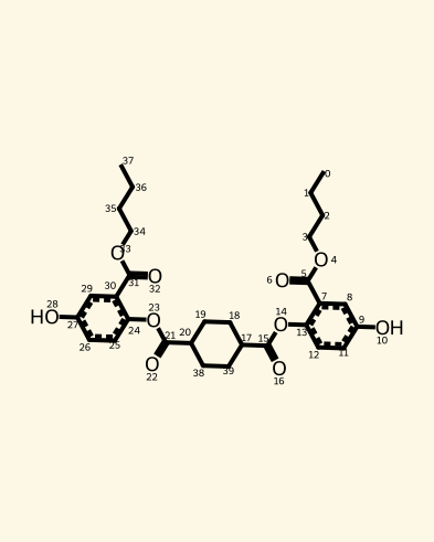 CCCCOC(=O)c1cc(O)ccc1OC(=O)C1CCC(C(=O)Oc2ccc(O)cc2C(=O)OCCCC)CC1